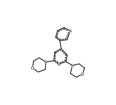 c1cncc(-c2cc(N3CCOCC3)nc(N3CCOCC3)c2)c1